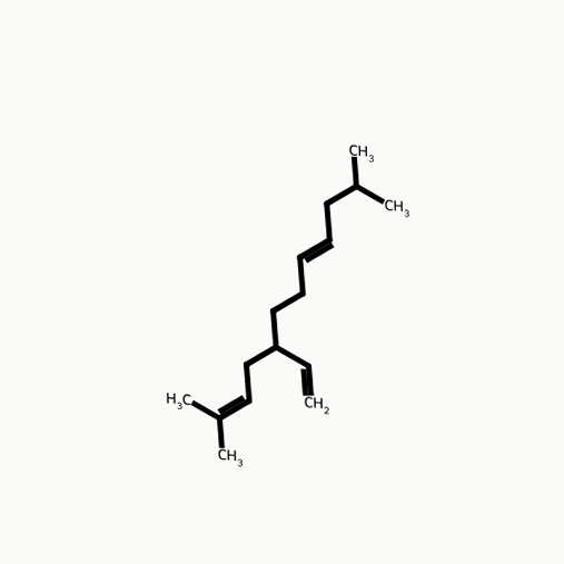 C=CC(CC=C(C)C)CC/C=C/CC(C)C